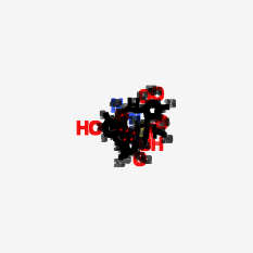 CCC1Cc2cc(O)c(C)cc2[C@@]2(CS[C@@H]3c4c(OC(C)=O)c(C)c5c(c4[C@H](COC2=O)N2C3[C@H]3c4c(cc(C)c(OC)c4O)C[C@@H]([C@@H]2C#N)N3C)OCO5)N1